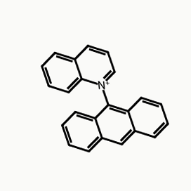 c1ccc2c(-[n+]3cccc4ccccc43)c3ccccc3cc2c1